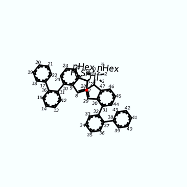 CCCCC[CH2][Hf]([CH3])([CH3])(=[SiH2])([CH2]CCCCC)([CH]1C=Cc2c(-c3ccccc3-c3ccccc3)cccc21)[CH]1C=Cc2c(-c3ccccc3-c3ccccc3)cccc21